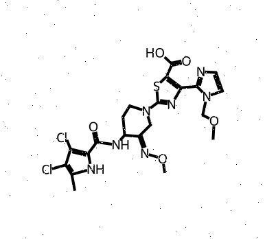 COCn1ccnc1-c1nc(N2CCC(NC(=O)c3[nH]c(C)c(Cl)c3Cl)/C(=N/OC)C2)sc1C(=O)O